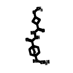 O=C(O)NC12CCC(C(=O)NNC(=O)C3CC(OC(F)(F)F)C3)(CC1)CC2